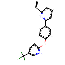 C=Cc1cccc(-c2ccc(Oc3ccc(C(F)(F)F)cn3)cc2)n1